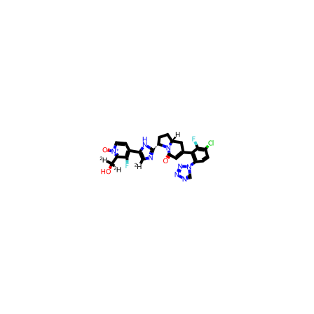 [2H]c1nc([C@@H]2CC[C@@H]3CC(c4c(-n5cnnn5)ccc(Cl)c4F)=CC(=O)N32)[nH]c1-c1cc[n+]([O-])c(C([2H])([2H])O)c1F